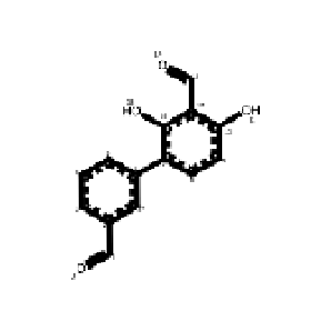 O=Cc1cccc(-c2ccc(O)c(C=O)c2O)c1